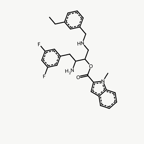 CCc1cccc(CNCC(OC(=O)c2cc3ccccc3n2C)C(N)Cc2cc(F)cc(F)c2)c1